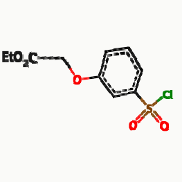 CCOC(=O)COc1cccc(S(=O)(=O)Cl)c1